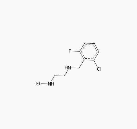 CCNCCNCc1c(F)cccc1Cl